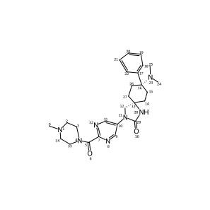 CN1CCN(C(=O)c2ncc(N3C[C@]4(CC[C@@](c5ccccc5)(N(C)C)CC4)NC3=O)cn2)CC1